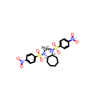 CN([C@H]1CCCCC[C@@H]1N(C)S(=O)(=O)c1ccc([N+](=O)[O-])cc1)S(=O)(=O)c1ccc([N+](=O)[O-])cc1